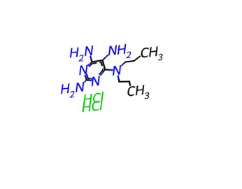 CCCN(CCC)c1nc(N)nc(N)c1N.Cl.Cl